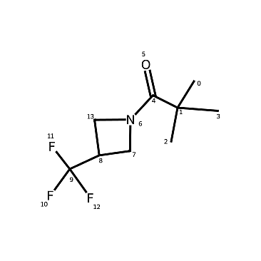 CC(C)(C)C(=O)N1CC(C(F)(F)F)C1